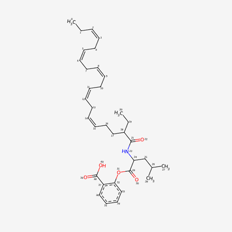 CC/C=C\C/C=C\C/C=C\C/C=C\C/C=C\CCC(CC)C(=O)NC(CC(C)C)C(=O)Oc1ccccc1C(=O)O